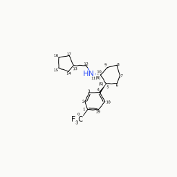 FC(F)(F)c1ccc([C@@H]2C[CH]CC[C@H]2NCC2CCCC2)cc1